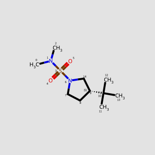 CN(C)S(=O)(=O)N1CC[C@@H](C(C)(C)C)C1